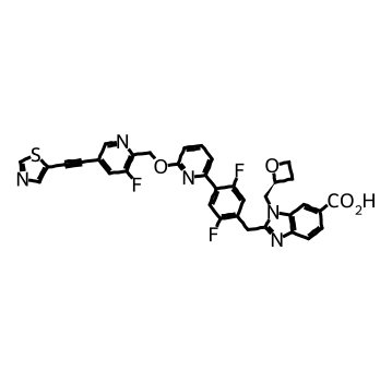 O=C(O)c1ccc2nc(Cc3cc(F)c(-c4cccc(OCc5ncc(C#Cc6cncs6)cc5F)n4)cc3F)n(C[C@@H]3CCO3)c2c1